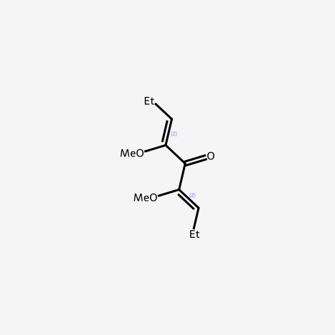 CC/C=C(\OC)C(=O)/C(=C/CC)OC